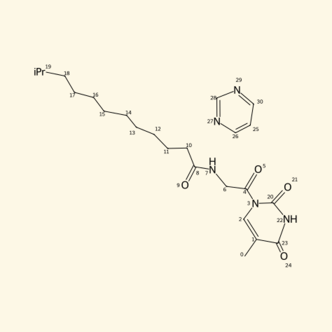 Cc1cn(C(=O)CNC(=O)CCCCCCCCCC(C)C)c(=O)[nH]c1=O.c1cncnc1